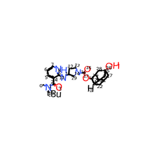 CN(C(=O)c1cccnc1NC1CCN(C(=O)OC2C3CC4C[C@H]2C[C@@](O)(C4)C3)C1)C(C)(C)C